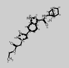 CCOC(=O)Cn1cc(-c2ccc3c(C(=O)N[C@H]4CN5CCC4CC5)n[nH]c3c2)nn1